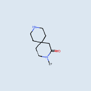 CCN1CCC2(CCNCC2)CC1=O